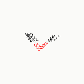 [F-].[F-].[Mn+2].[Mn+2].[Mn+2].[Mn+2].[Mn+2].[Mn+2].[Mn+2].[O-2].[O-2].[O-2].[O-2].[O-2].[O-2]